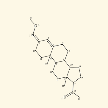 CON=C1C=C2CCC3C(CCC4(C)C(C(C)=O)CCC34)C2(C)CC1